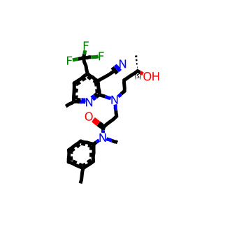 Cc1cccc(N(C)C(=O)CN(CC[C@H](C)O)c2nc(C)cc(C(F)(F)F)c2C#N)c1